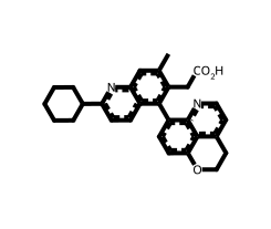 Cc1cc2nc(C3CCCCC3)ccc2c(-c2ccc3c4c(ccnc24)CCO3)c1CC(=O)O